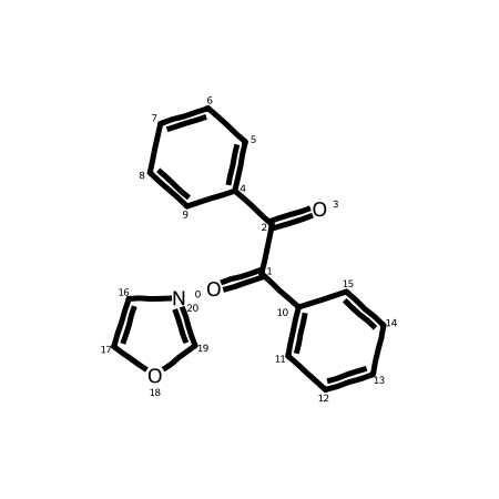 O=C(C(=O)c1ccccc1)c1ccccc1.c1cocn1